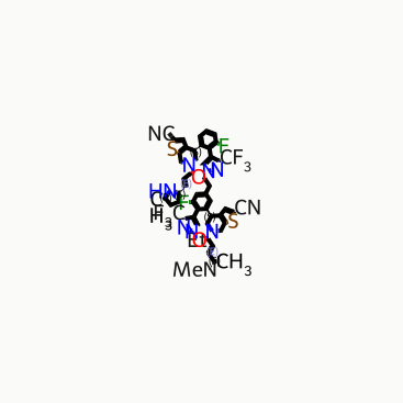 CCn1cc(-c2c(F)cc(CCn3cc(-c4c(F)cccc4[C@@H]4CN(C(=O)/C=C/[C@@H]5CC[C@@H](C)N5)Cc5sc(C#N)cc54)c(C(F)(F)F)n3)cc2[C@@H]2CN(C(=O)/C=C/[C@H](C)NC)Cc3sc(C#N)cc32)c(C(F)(F)F)n1